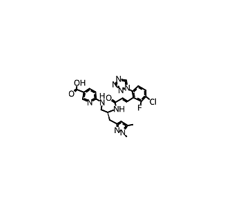 Cc1cc(C[C@@H](CNc2ccc(C(=O)O)cn2)NC(=O)/C=C/c2c(-n3cnnn3)ccc(Cl)c2F)nn1C